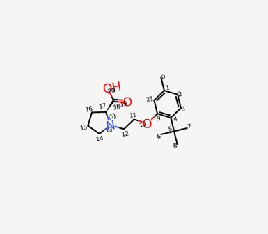 Cc1ccc(C(C)(C)C)c(OCCN2CCC[C@H]2C(=O)O)c1